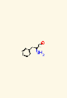 NC(=C=O)Cc1ccccc1